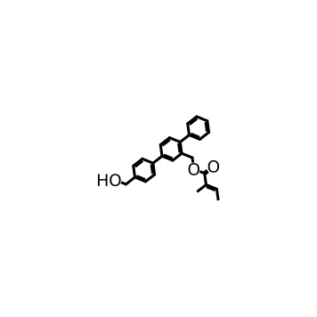 C/C=C(\C)C(=O)OCc1cc(-c2ccc(CO)cc2)ccc1-c1ccccc1